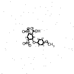 COc1ccc(Oc2cc(C(=O)O)c([N+](=O)[O-])cc2[N+](=O)[O-])cc1